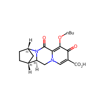 CCCCOc1c2n(cc(C(=O)O)c1=O)C[C@H]1[C@@H]3CC[C@@H](C3)N1C2=O